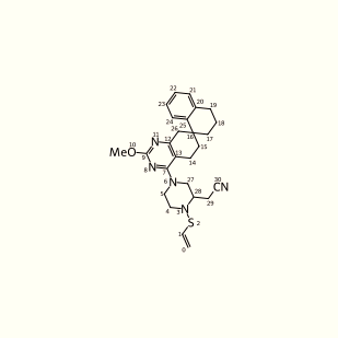 C=CSN1CCN(c2nc(OC)nc3c2CCC2(CCCc4ccccc42)C3)CC1CC#N